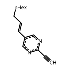 C#Cc1ncc(C=CCCCCCCC)cn1